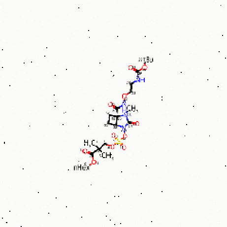 CCCCCCOC(=O)C(C)(C)COS(=O)(=O)ON1C(=O)N(C)[C@@]2(C(=O)NOCCNC(=O)OC(C)(C)C)CCC12